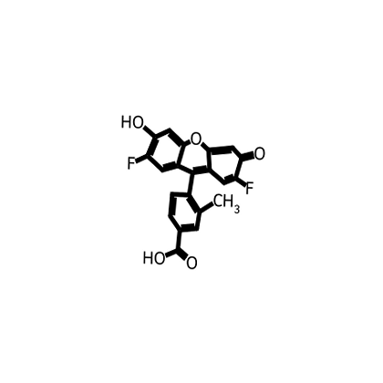 Cc1cc(C(=O)O)ccc1-c1c2cc(F)c(=O)cc-2oc2cc(O)c(F)cc12